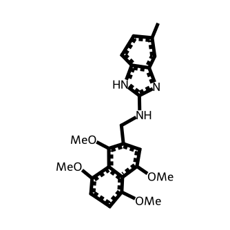 COc1ccc(OC)c2c(OC)c(CNc3nc4cc(C)ccc4[nH]3)cc(OC)c12